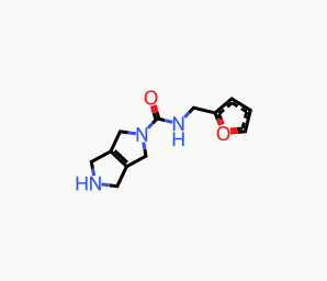 O=C(NCc1ccco1)N1CC2=C(CNC2)C1